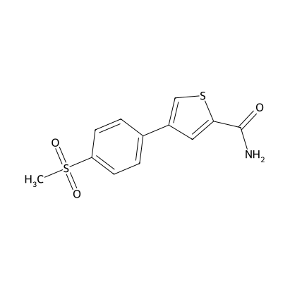 CS(=O)(=O)c1ccc(-c2csc(C(N)=O)c2)cc1